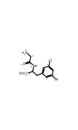 CCOC(=O)C(Cc1cc(Cl)cc(Br)c1)NC(=O)CN